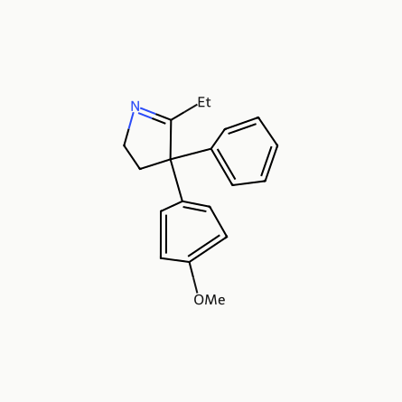 CCC1=NCCC1(c1ccccc1)c1ccc(OC)cc1